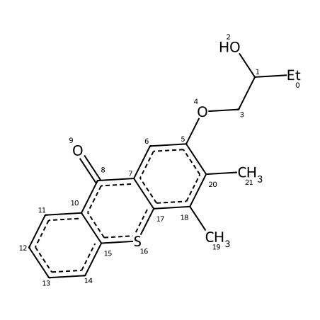 CCC(O)COc1cc2c(=O)c3ccccc3sc2c(C)c1C